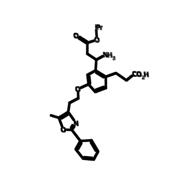 Cc1oc(-c2ccccc2)nc1CCOc1ccc(CCC(=O)O)c(C(N)CC(=O)OC(C)C)c1